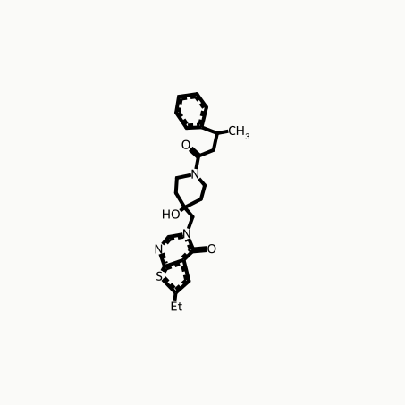 CCc1cc2c(=O)n(CC3(O)CCN(C(=O)CC(C)c4ccccc4)CC3)cnc2s1